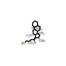 CC(=O)O[C@H]1C[C@@]2(C)C(/C1=C(\CCCC(C)C)C(=O)O)[C@H](N)C[C@@H]1C2CCC2CCCC[C@@]21C